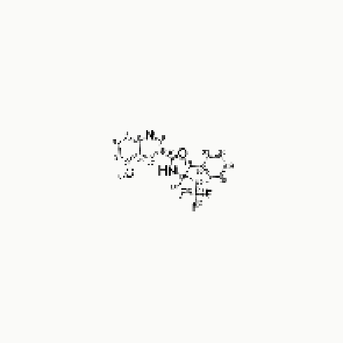 COc1cccc2ncc(C(=O)NC(C)(Cc3ccccc3)CC(F)(F)F)cc12